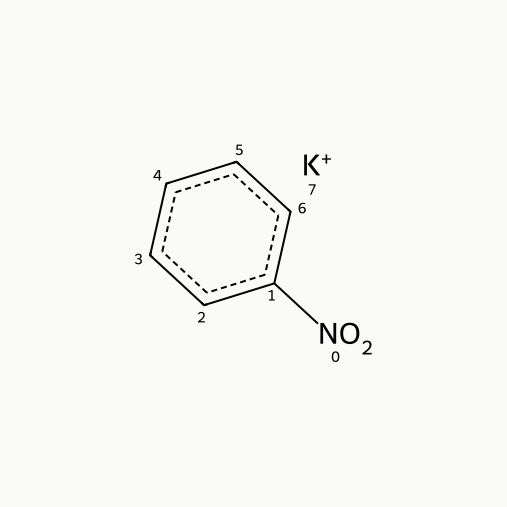 O=[N+]([O-])c1ccccc1.[K+]